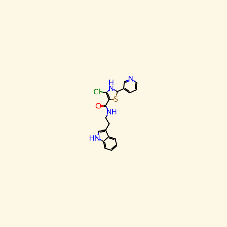 O=C(NCCc1c[nH]c2ccccc12)C1=C(Cl)NC(c2cccnc2)S1